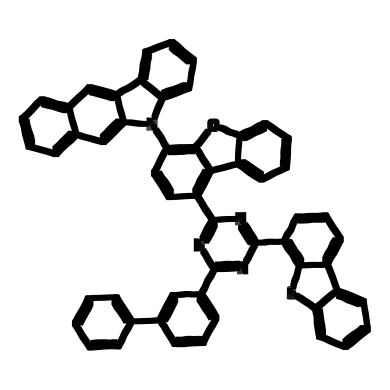 c1ccc(-c2cccc(-c3nc(-c4cccc5c4sc4ccccc45)nc(-c4ccc(-n5c6ccccc6c6cc7ccccc7cc65)c5oc6ccccc6c45)n3)c2)cc1